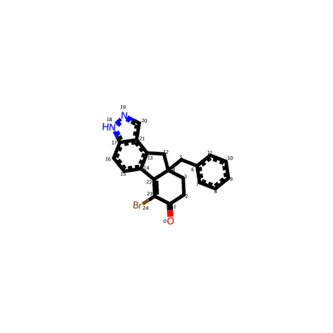 O=C1CCC2(Cc3ccccc3)Cc3c(ccc4[nH]ncc34)C2=C1Br